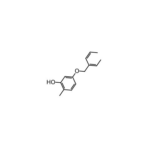 C/C=C\C(=C/C)COc1ccc(C)c(O)c1